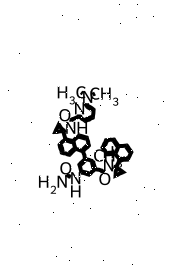 Cc1c(C(=O)NC2(c3cccc4ccccc34)CC2)cc(NC(N)=O)cc1-c1cccc2c(C3(NC(=O)c4cccc(N(C)C)n4)CC3)cccc12